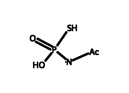 CC(=O)[N]P(=O)(O)S